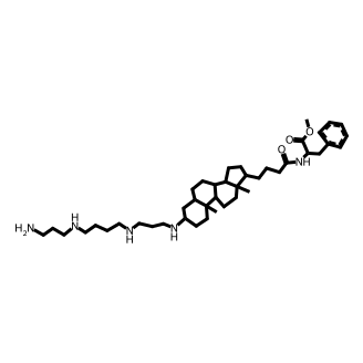 COC(=O)C(Cc1ccccc1)NC(=O)CCCC1CCC2C3CCC4CC(NCCCNCCCCNCCCN)CCC4(C)C3CCC12C